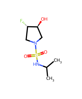 CC(C)NS(=O)(=O)N1C[C@H](O)[C@@H](F)C1